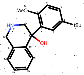 COc1ccc(C(C)(C)C)cc1C1(O)CNCc2ccccc21